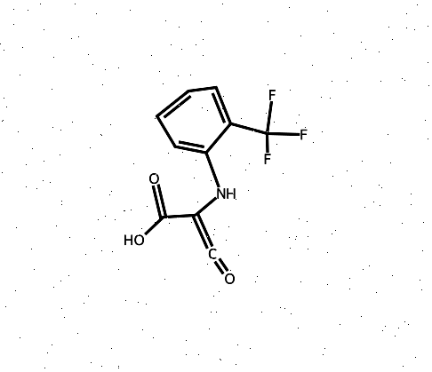 O=C=C(Nc1ccccc1C(F)(F)F)C(=O)O